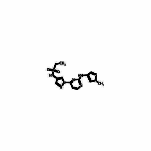 CCS(=O)(=O)Nc1cnn(-c2ccnc(Nc3cnn(C)c3)n2)c1